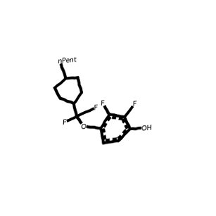 CCCCCC1CCC(C(F)(F)Oc2ccc(O)c(F)c2F)CC1